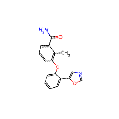 Cc1c(Oc2ccccc2-c2cnco2)cccc1C(N)=O